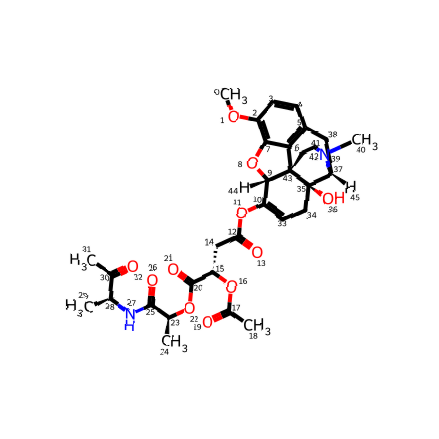 COc1ccc2c3c1O[C@H]1C(OC(=O)C[C@H](OC(C)=O)C(=O)O[C@@H](C)C(=O)N[C@@H](C)C(C)=O)=CC[C@@]4(O)[C@@H](C2)N(C)CC[C@]314